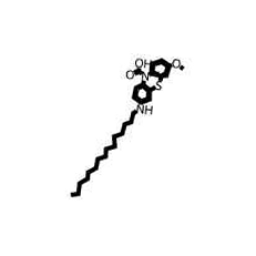 CCCCCCCCCCCCCCCNc1ccc2c(c1)Sc1cc(OC)ccc1N2C(=O)O